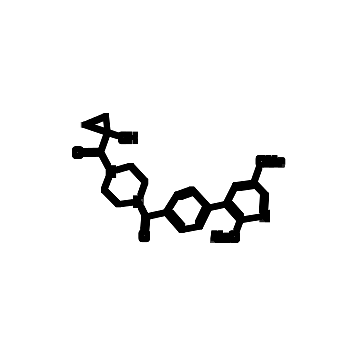 COc1cnc(OC)c(-c2ccc(C(=O)N3CCN(C(=O)C4(O)CC4)CC3)cc2)c1